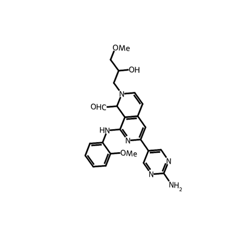 COCC(O)CN1C=Cc2cc(-c3cnc(N)nc3)nc(Nc3ccccc3OC)c2C1C=O